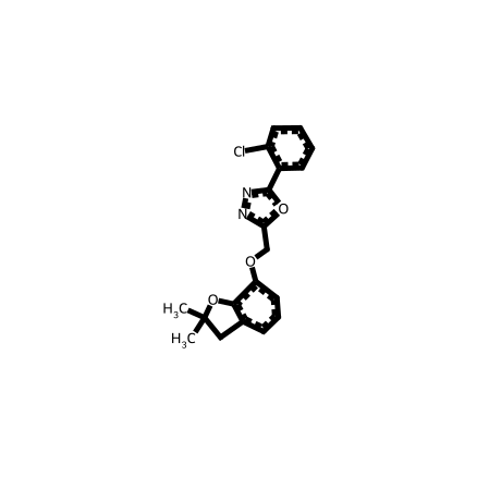 CC1(C)Cc2cccc(OCc3nnc(-c4ccccc4Cl)o3)c2O1